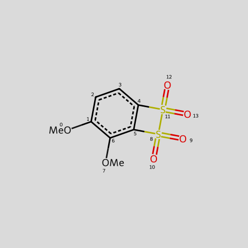 COc1ccc2c(c1OC)S(=O)(=O)S2(=O)=O